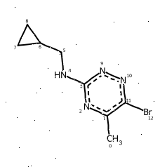 Cc1nc(NCC2CC2)nnc1Br